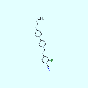 CCCCc1ccc(-c2ccc(CCc3ccc(C#N)c(F)c3)cc2)cc1